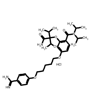 CC(C)N(C(=O)c1ccc(OCCCCCOc2ccc(C(=N)N)cc2)cc1OC(C(N)=O)(C(C)C)C(C)C)C(C)C.Cl